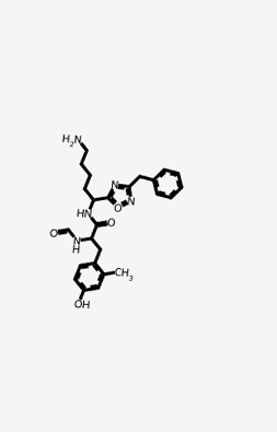 Cc1cc(O)ccc1CC(NC=O)C(=O)NC(CCCCN)c1nc(Cc2ccccc2)no1